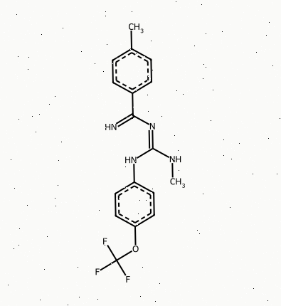 CN/C(=N/C(=N)c1ccc(C)cc1)Nc1ccc(OC(F)(F)F)cc1